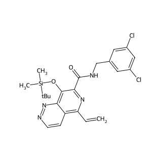 C=Cc1nc(C(=O)NCc2cc(Cl)cc(Cl)c2)c(O[Si](C)(C)C(C)(C)C)c2nnccc12